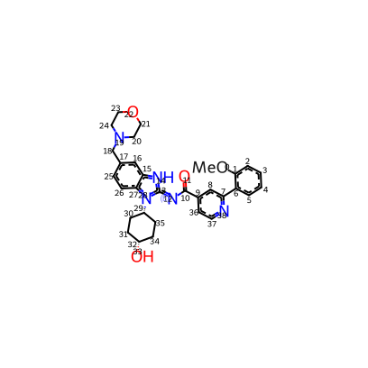 COc1ccccc1-c1cc(C(=O)/N=c2\[nH]c3cc(CN4CCOCC4)ccc3n2[C@H]2CC[C@@H](O)CC2)ccn1